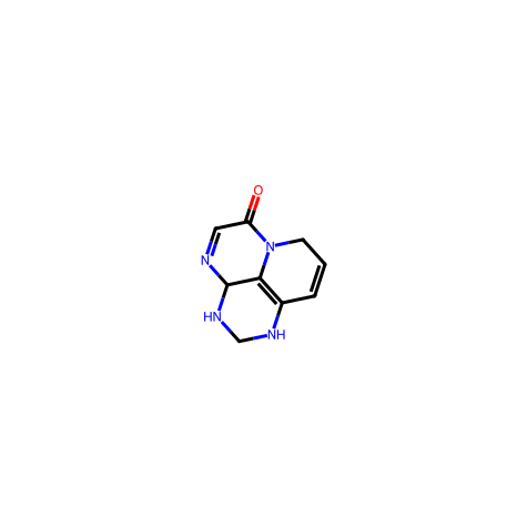 O=C1C=NC2NCNC3=C2N1CC=C3